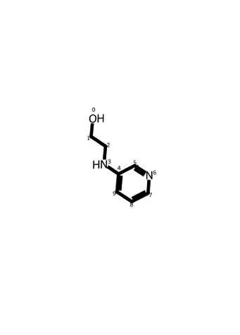 OCCNc1[c]nccc1